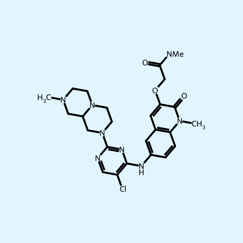 CNC(=O)COc1cc2cc(Nc3nc(N4CCN5CCN(C)CC5C4)ncc3Cl)ccc2n(C)c1=O